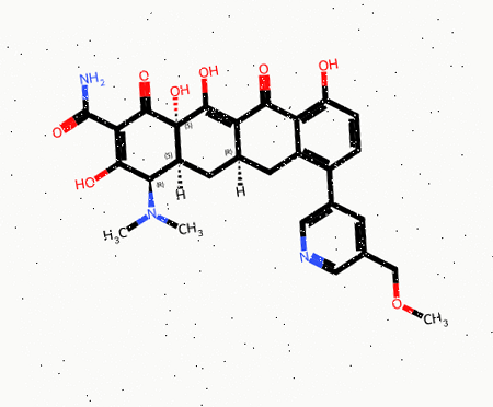 COCc1cncc(-c2ccc(O)c3c2C[C@H]2C[C@H]4[C@@H](N(C)C)C(O)=C(C(N)=O)C(=O)[C@@]4(O)C(O)=C2C3=O)c1